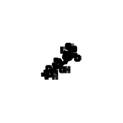 COCc1cc(C[C@@H]2CSC[C@H](NC(=O)OC(C)(C)C)[C@H]2O)cc(F)c1[N+](=O)[O-]